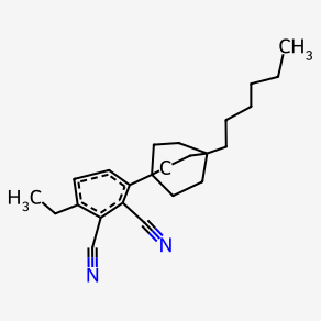 CCCCCCC12CCC(c3ccc(CC)c(C#N)c3C#N)(CC1)CC2